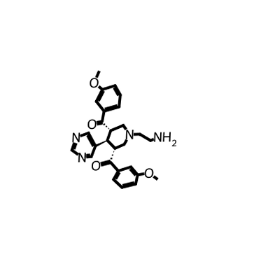 COc1cccc(C(=O)[C@H]2CN(CCN)C[C@@H](C(=O)c3cccc(OC)c3)[C@@H]2c2cncnc2)c1